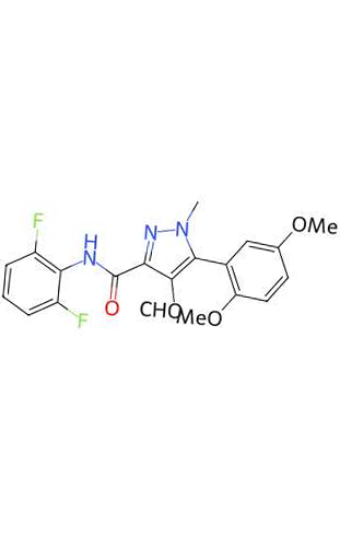 COc1ccc(OC)c(-c2c(C=O)c(C(=O)Nc3c(F)cccc3F)nn2C)c1